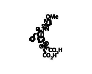 COc1ccc2nc(NC(=O)[C@H](CC3CCCC3)c3ccc(S(=O)(=O)N(CCC(=O)O)CC(=O)O)cc3)sc2n1